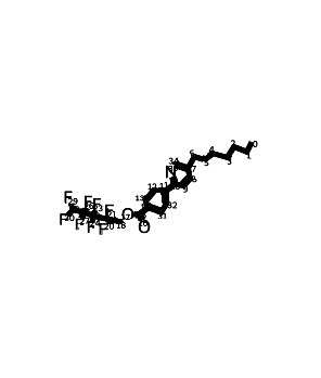 CCCCCCCc1ccc(-c2ccc(C(=O)OCC(F)(F)C(F)(F)C(F)(F)C(F)F)cc2)nc1